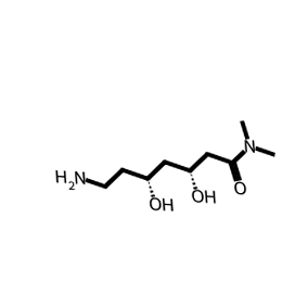 CN(C)C(=O)C[C@H](O)C[C@H](O)CCN